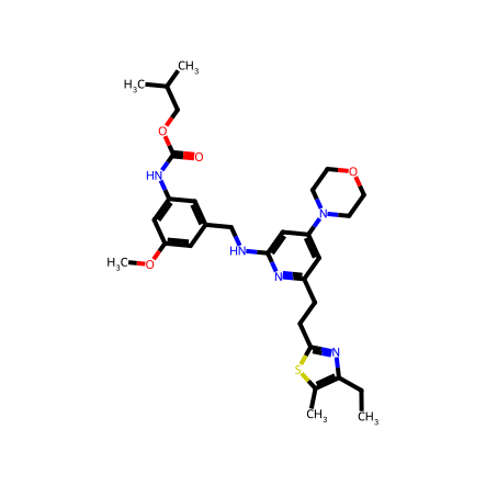 CCc1nc(CCc2cc(N3CCOCC3)cc(NCc3cc(NC(=O)OCC(C)C)cc(OC)c3)n2)sc1C